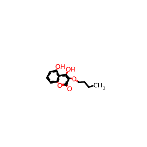 CCCCOc1c(O)c2c(O)cccc2oc1=O